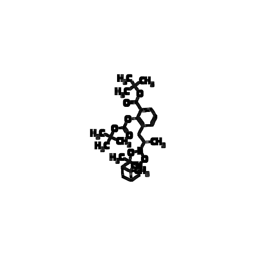 CC(Cc1cccc(C(=O)OC(C)(C)C)c1OC(=O)OC(C)(C)C)B1OC2CC3CC(C3(C)C)C2(C)O1